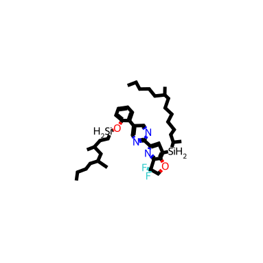 CCCCCC(C)CCCCCCC(C)[SiH2]c1cc(-c2ncc(-c3ccccc3O[SiH2]CCC(C)CC(C)CCCC)cn2)nc2c1OCC2(F)F